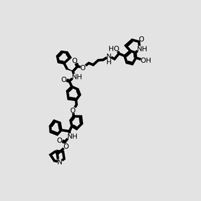 O=C(NC(c1ccccc1)c1cccc(OCc2ccc(C(=O)N[C@@H](Cc3ccccc3)C(=O)OCCCCNCC(O)c3ccc(O)c4[nH]c(=O)ccc34)cc2)c1)OC1CN2CCC1CC2